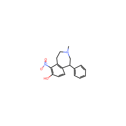 CN1CCc2c(ccc(O)c2[N+](=O)[O-])C(c2ccccc2)C1